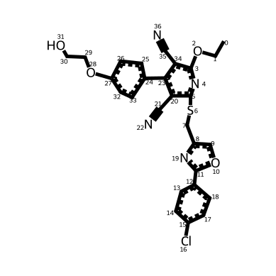 CCOc1nc(SCc2coc(-c3ccc(Cl)cc3)n2)c(C#N)c(-c2ccc(OCCO)cc2)c1C#N